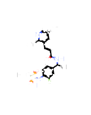 CC(C)c1ncc(C(F)(F)F)cc1C=CC(=O)NC(C)c1ccc(NS(C)(=O)=O)c(F)c1